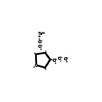 C1CCOC1.[Cl-].[Cl-].[Cl-].[Cl-].[Cl-].[Ta+5]